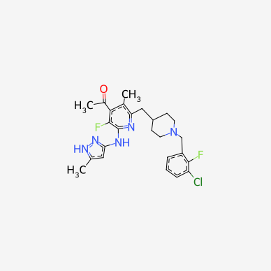 CC(=O)c1c(C)c(CC2CCN(Cc3cccc(Cl)c3F)CC2)nc(Nc2cc(C)[nH]n2)c1F